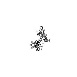 CC[C@H](NP(=O)(OC[C@H]1O[C@@H](n2ccc(=O)[nH]c2=O)[C@](C)(F)[C@@H]1O)Oc1ccccc1)C(=O)OC